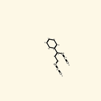 O=C=NCCC(N=C=O)C1CCCCC1